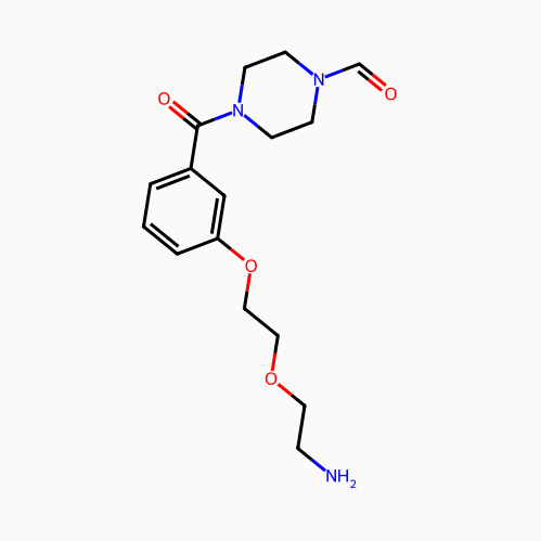 NCCOCCOc1cccc(C(=O)N2CCN(C=O)CC2)c1